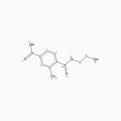 Cc1cc(C(=O)O)ccc1C(=O)OCCO